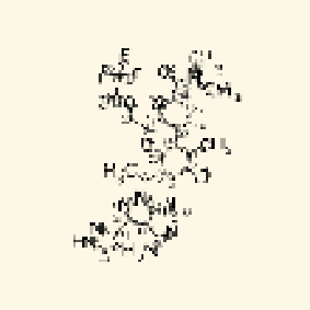 Cc1c(Cl)cc(C(C)n2nc(-c3cc[nH]n3)c3c(N)ncnc32)c(OCCOC(=O)C(F)(F)F)c1-c1ccc(C(=O)N(C)C)nc1